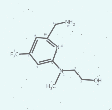 CN(CCO)c1cc(C(F)(F)F)cc(CN)n1